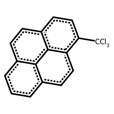 ClC(Cl)(Cl)c1ccc2ccc3cccc4ccc1c2c34